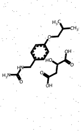 CC(C)COc1ccc(CNC(N)=O)cc1.O=C(O)CC(O)C(=O)O